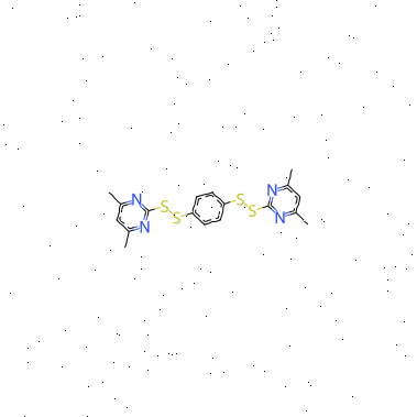 Cc1cc(C)nc(SSc2ccc(SSc3nc(C)cc(C)n3)cc2)n1